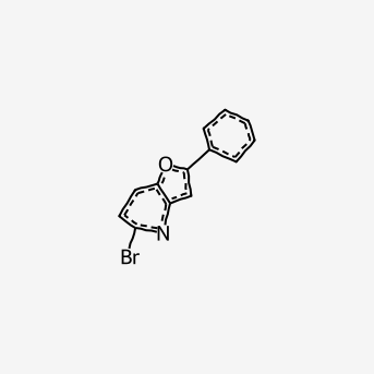 Brc1ccc2oc(-c3ccccc3)cc2n1